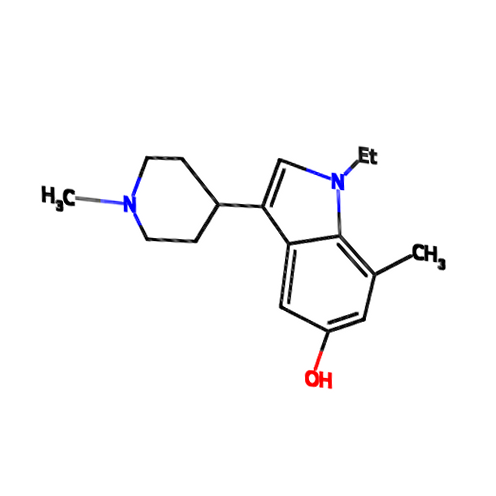 CCn1cc(C2CCN(C)CC2)c2cc(O)cc(C)c21